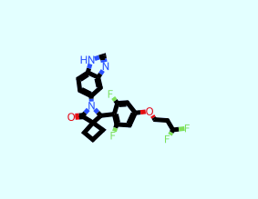 O=C1N(c2ccc3[nH]cnc3c2)C(c2c(F)cc(OCCC(F)F)cc2F)C12CCC2